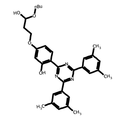 CCCCOC(O)CCOc1ccc(-c2nc(-c3cc(C)cc(C)c3)nc(-c3cc(C)cc(C)c3)n2)c(O)c1